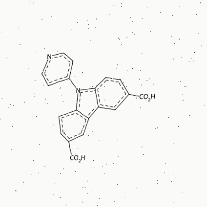 O=C(O)c1ccc2c(c1)c1cc(C(=O)O)ccc1n2-c1ccncc1